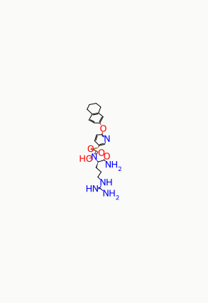 N=C(N)NCCC[C@H](C(N)=O)N(O)S(=O)(=O)c1ccc(Oc2ccc3c(c2)CCCC3)nc1